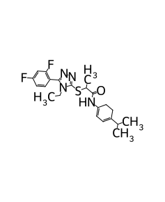 CCn1c(SC(C)C(=O)NC2=CC=C(C(C)C)CC2)nnc1-c1ccc(F)cc1F